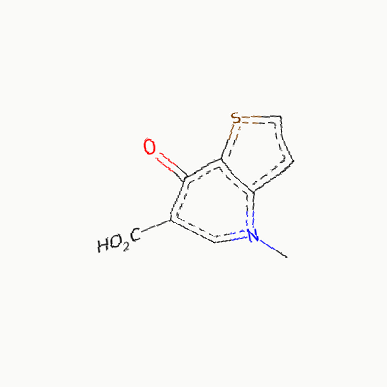 Cn1cc(C(=O)O)c(=O)c2sccc21